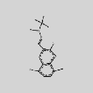 Cc1ccc(F)c2cc(/C=N/[S+]([O-])C(C)(C)C)c(Cl)nc12